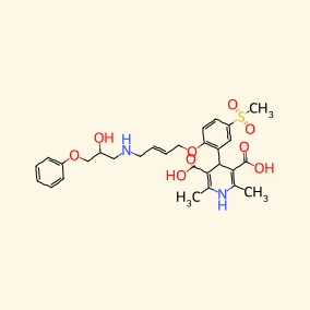 CC1=C(C(=O)O)C(c2cc(S(C)(=O)=O)ccc2OCC=CCNCC(O)COc2ccccc2)C(C(=O)O)=C(C)N1